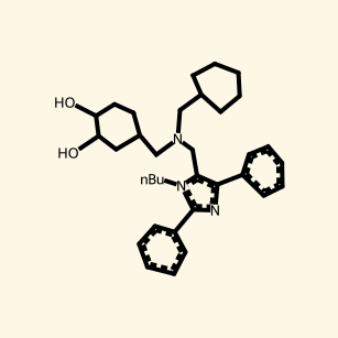 CCCCn1c(-c2ccccc2)nc(-c2ccccc2)c1CN(CC1CCCCC1)CC1CCC(O)C(O)C1